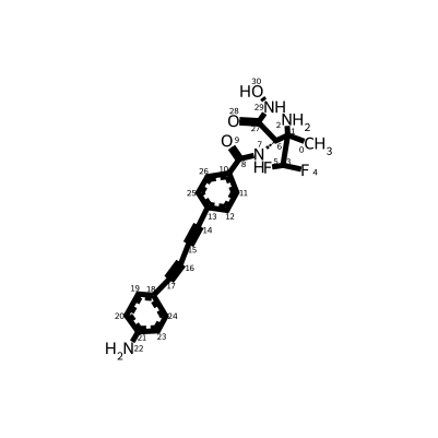 CC(N)(C(F)F)[C@H](NC(=O)c1ccc(C#CC#Cc2ccc(N)cc2)cc1)C(=O)NO